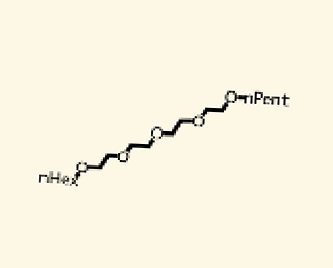 CCCCCCOCCOCCOCCOCCOCCCCC